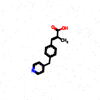 C/C(=C\c1ccc(Cc2ccncc2)cc1)C(=O)O